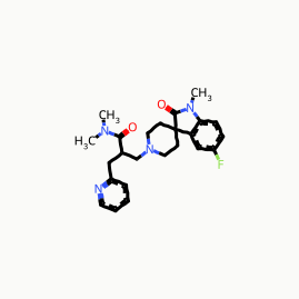 CN(C)C(=O)C(Cc1ccccn1)CN1CCC2(CC1)C(=O)N(C)c1ccc(F)cc12